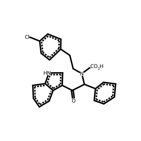 O=C(c1c[nH]c2ccccc12)C(c1ccccc1)N(CCc1ccc(Cl)cc1)C(=O)O